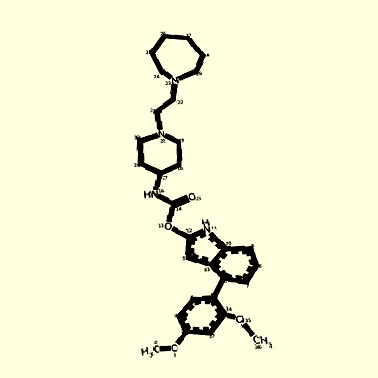 COc1ccc(-c2cccc3[nH]c(OC(=O)NC4CCN(CCN5CCCCCC5)CC4)cc23)c(OC)c1